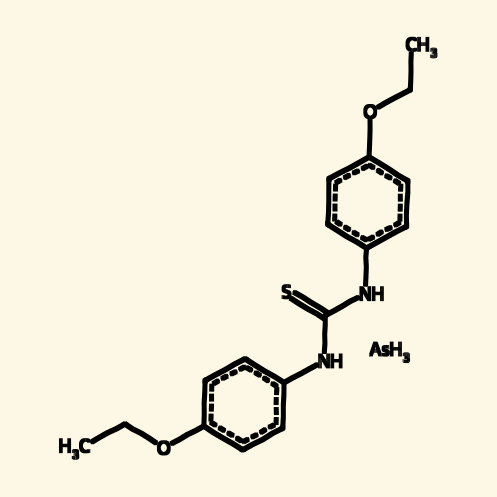 CCOc1ccc(NC(=S)Nc2ccc(OCC)cc2)cc1.[AsH3]